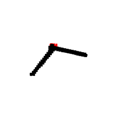 CCCCCCCCCCCCCCCCCCCCCCCCCCc1ccc(O)c(CCCCCCCCCCCCCCCCCCCCCCCCCC)c1